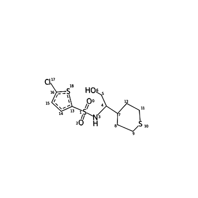 O=S(=O)(NC(CO)C1CCSCC1)c1ccc(Cl)s1